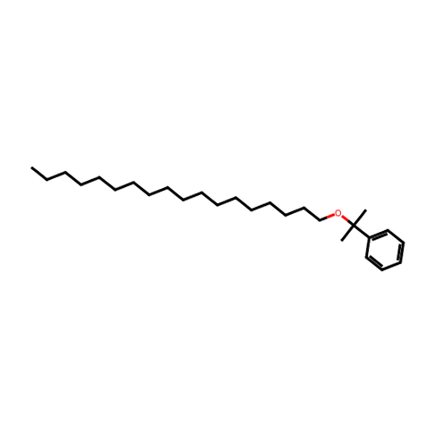 CCCCCCCCCCCCCCCCCCOC(C)(C)c1ccccc1